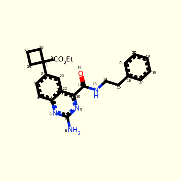 CCOC(=O)C1(c2ccc3nc(N)nc(C(=O)NCCc4ccccc4)c3c2)CCC1